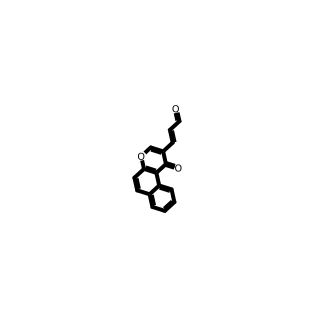 O=C/C=C/c1coc2ccc3ccccc3c2c1=O